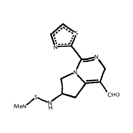 CNSNC1CC2=C(C=O)CN=C(c3nccs3)N2C1